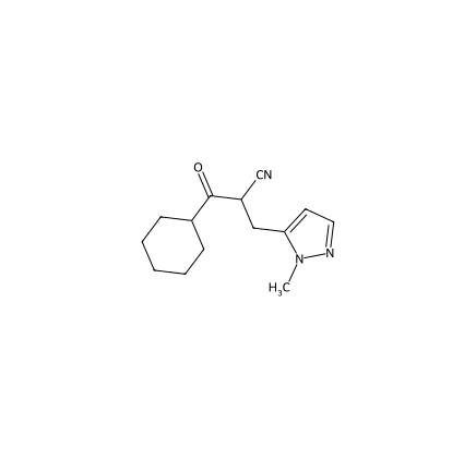 Cn1nccc1CC(C#N)C(=O)C1CCCCC1